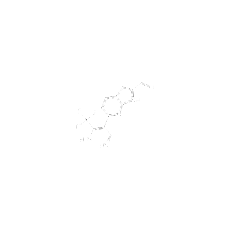 N=C/C(=C(\N)C(F)(F)F)c1ccc2cc(C=O)[nH]c2n1